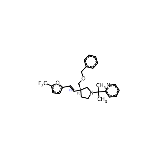 CC(C)(c1ccccn1)N1CC[C@@](/C=C/c2ccc(C(F)(F)F)o2)(COCc2ccccc2)C1